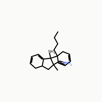 CCCCC1(C2([SiH3])C3=CC=CCC3CC2(C)CN)C=CC=CC1